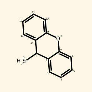 [SiH3]C1c2ccccc2Oc2ccccc21